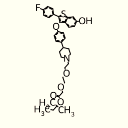 CCC(C)(C)OC(=O)COCCOCCN1CCC(c2ccc(Oc3c(-c4ccc(F)cc4)sc4cc(O)ccc34)cc2)CC1